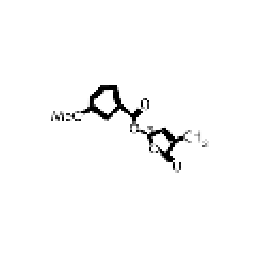 COc1cccc(C(=O)O[C@H]2C=C(C)C(=O)O2)c1